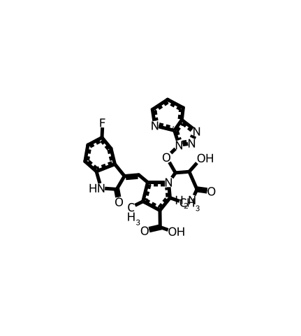 Cc1c(C(=O)O)c(C)n(C(On2nnc3cccnc32)C(O)C(N)=O)c1C=C1C(=O)Nc2ccc(F)cc21